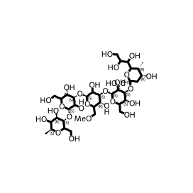 COCC1O[C@@H](O[C@@H]2C(O)[C@H](O[C@@H]3C(CO)O[C@@H](C)C(O)[C@H]3O)OC(CO)[C@@H]2O)C(O)[C@@H](O[C@@H]2OC(CO)[C@H](O)[C@H](O[C@]3(C(=O)O)C[C@@H](O)[C@@H](C)C(C(O)C(O)CO)O3)C2O)[C@@H]1O